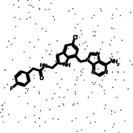 Nc1ncnc2c1ncn2Cc1cc(Cl)cc2cc(CNC(=O)Cc3ccc(F)cc3)[nH]c12